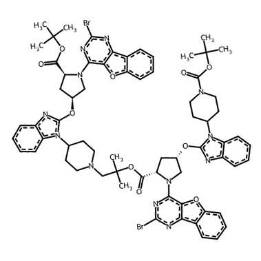 CC(C)(C)OC(=O)[C@@H]1C[C@H](Oc2nc3ccccc3n2C2CCN(CC(C)(C)OC(=O)[C@@H]3C[C@H](Oc4nc5ccccc5n4C4CCN(C(=O)OC(C)(C)C)CC4)CN3c3nc(Br)nc4c3oc3ccccc34)CC2)CN1c1nc(Br)nc2c1oc1ccccc12